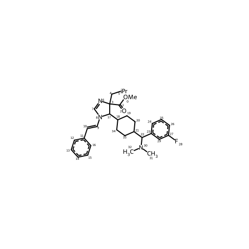 COC(=O)C1(CC(C)C)N=CN(C=Cc2ccccc2)C1C1CCC(C(c2cccc(F)c2)N(C)C)CC1